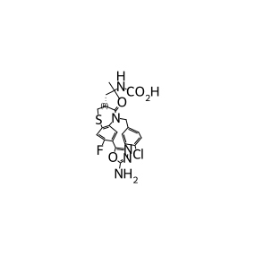 CC(C)(C[C@H]1CSc2cc(F)c(-c3nnc(N)o3)cc2N(Cc2ccc(Cl)cc2)C1=O)NC(=O)O